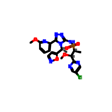 COc1cccc(-c2nnc(NS(=O)(=O)[C@@H](C)[C@H](OC)c3ncc(Cl)cn3)n2[C@H](C)c2ccno2)n1